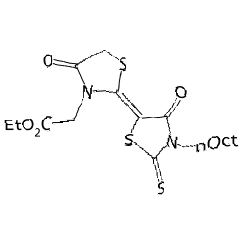 CCCCCCCCN1C(=O)/C(=C2\SCC(=O)N2CC(=O)OCC)SC1=S